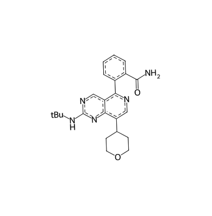 CC(C)(C)Nc1ncc2c(-c3ccccc3C(N)=O)ncc(C3CCOCC3)c2n1